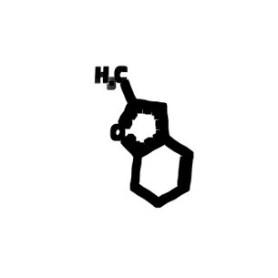 Cc1cc2c(o1)CCC=C2